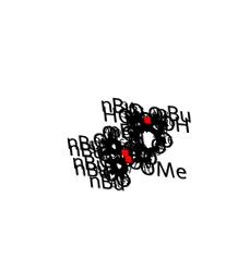 CCCCOc1cc(C(=O)OC2[C@H](OC)OC3COC(=O)c4cc(O)c(OCCCC)c(O)c4-c4c(cc(O)c(OCCCC)c4O)C(=O)O[C@H]3[C@@H]2OC(=O)c2cc(OCCCC)c(OCCCC)c(OCCCC)c2)cc(OCCCC)c1OCCCC